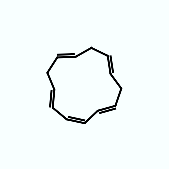 [CH]1/C=C/C/C=C/C=C\C=C\C/C=C/1